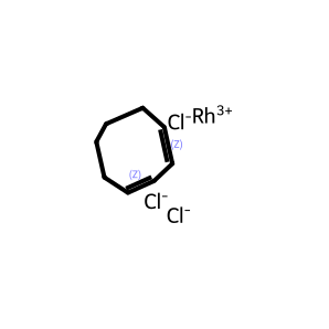 C1=C\CCCC\C=C/1.[Cl-].[Cl-].[Cl-].[Rh+3]